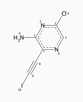 Nc1nc(Cl)cnc1C#CI